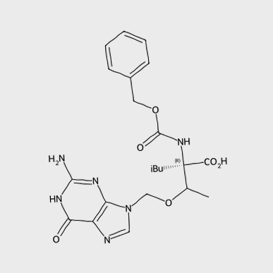 CCC(C)[C@](NC(=O)OCc1ccccc1)(C(=O)O)C(C)OCn1cnc2c(=O)[nH]c(N)nc21